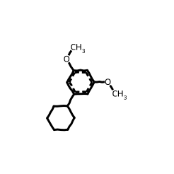 COc1cc(OC)cc(C2CCCCC2)c1